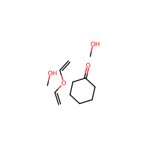 C=COC=C.CO.CO.O=C1CCCCC1